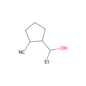 CCC(O)C1CCCC1C#N